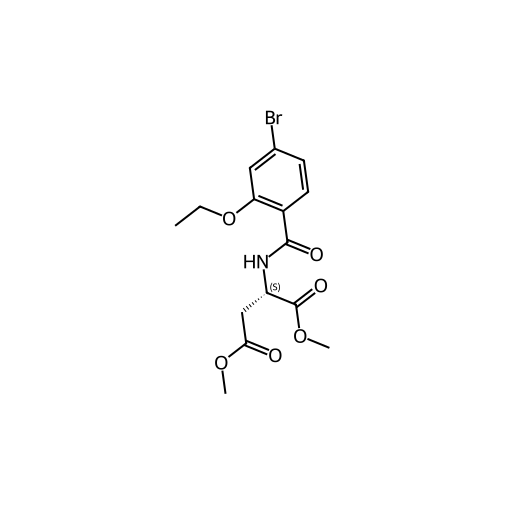 CCOc1cc(Br)ccc1C(=O)N[C@@H](CC(=O)OC)C(=O)OC